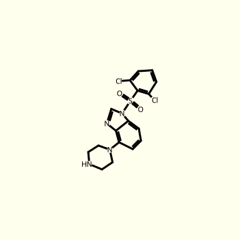 O=S(=O)(c1c(Cl)cccc1Cl)n1cnc2c(N3CCNCC3)cccc21